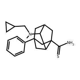 CN(CC1CC1)C1C2CC3(c4ccccc4)CC1C(C(N)=S)(C2)C3